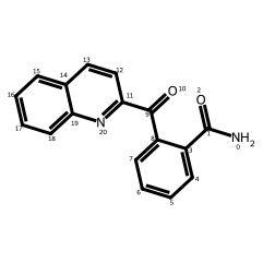 NC(=O)c1ccccc1C(=O)c1ccc2ccccc2n1